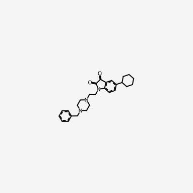 O=C1C(=O)N(CCN2CCN(Cc3ccccc3)CC2)c2ccc(C3CCCCC3)cc21